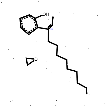 C/C=C(/CCCCCCCCC)c1ccccc1O.C1CO1